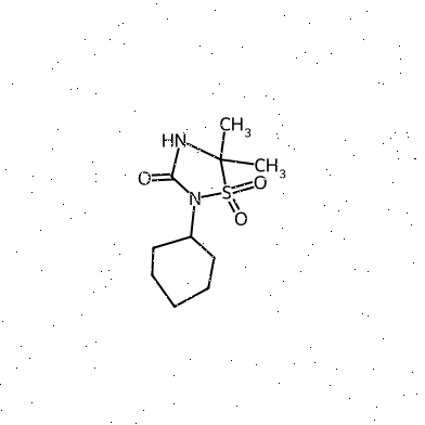 CC1(C)NC(=O)N(C2CCCCC2)S1(=O)=O